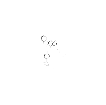 Cn1cc(C(F)(F)F)nc1-c1ccc(COc2nc(-c3ccccc3C(F)(F)F)nc3ncn(COCC[Si](C)(C)C)c23)cc1